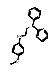 COc1ccc(NCC[C@H](c2ccccc2)c2ccccn2)cc1